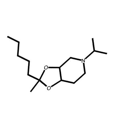 CCCCCC1(C)OC2CCN(C(C)C)CC2O1